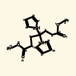 CC(C)OC(=O)CCC(CCC(=O)OC(C)C)([SH]1C=CC=C1)[SH]1C=CC=C1